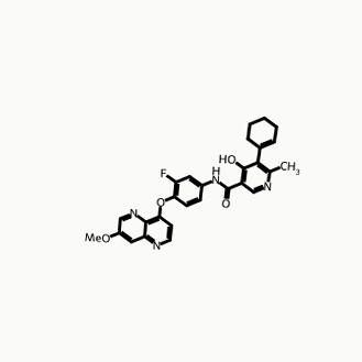 COc1cnc2c(Oc3ccc(NC(=O)c4cnc(C)c(C5=CCCCC5)c4O)cc3F)ccnc2c1